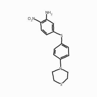 Nc1cc(Sc2ccc(N3CCSCC3)cc2)ccc1[N+](=O)[O-]